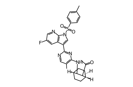 CC(=O)[C@@H]1C(Nc2nc(-c3cn(S(=O)(=O)c4ccc(C)cc4)c4ncc(F)cc34)ncc2C)[C@H]2CC[C@@H]1CC2